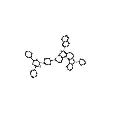 c1ccc(-c2nc(-c3ccccc3)nc(-c3ccc(-c4ccc5c(c4)nc(-c4ccc6ccccc6c4)c4ccc6c(c7ccccc7n6-c6ccccc6)c45)cc3)n2)cc1